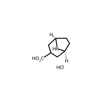 Cl.O=C(O)C1C[C@H]2CC[C@@H](C1)N2